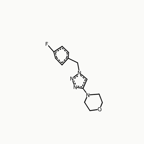 Fc1ccc(Cn2cc(N3CCOCC3)nn2)cc1